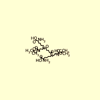 CC(C)(C)OC(=O)N=CCN(CCCCC(N)C(=O)O)C(=O)CCCC(=O)N(CC=NC(=O)OC(C)(C)C)CCCCC(N)C(=O)O